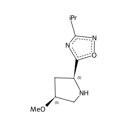 CO[C@@H]1CN[C@H](c2nc(C(C)C)no2)C1